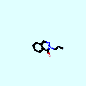 C=CCn1ncc2ccccc2c1=O